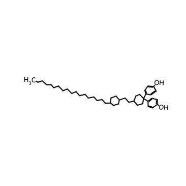 CCCCCCCCCCCCCCCCCCC1CCC(CCC2CCC(c3ccc(O)cc3)(c3ccc(O)cc3)CC2)CC1